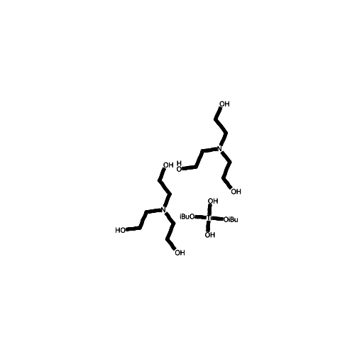 CC(C)C[O][Ti]([OH])([OH])[O]CC(C)C.OCCN(CCO)CCO.OCCN(CCO)CCO